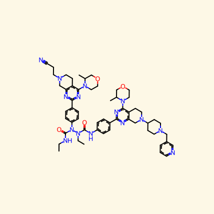 CCNC(=O)N(c1ccc(-c2nc3c(c(N4CCOCC4C)n2)CCN(CCC#N)C3)cc1)N(CC)C(=O)Nc1ccc(-c2nc3c(c(N4CCOCC4C)n2)CCN(C2CCN(Cc4cccnc4)CC2)C3)cc1